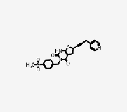 CS(=O)(=O)c1ccc(Cn2c(=O)[nH]c3sc(C#CCc4ccncc4)cc3c2=O)cc1